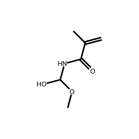 C=C(C)C(=O)NC(O)OC